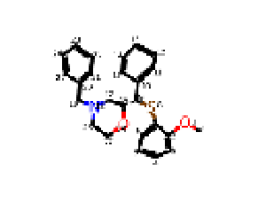 COc1ccccc1SC(c1ccccc1)[C@H]1CN(Cc2ccccc2)CCO1